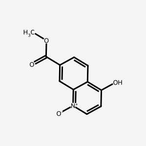 COC(=O)c1ccc2c(O)cc[n+]([O-])c2c1